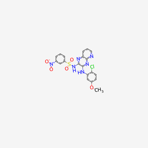 COc1ccc(Cl)c(Nc2nc3ncccc3nc2NS(=O)(=O)c2cccc([N+](=O)[O-])c2)c1